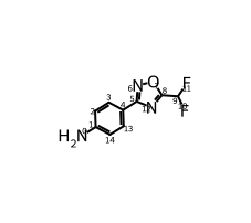 Nc1ccc(-c2noc(C(F)F)n2)cc1